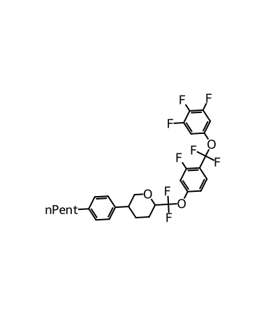 CCCCCc1ccc(C2CCC(C(F)(F)Oc3ccc(C(F)(F)Oc4cc(F)c(F)c(F)c4)c(F)c3)OC2)cc1